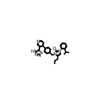 CCCc1cn(-c2ccccc2C(C)C)c(=O)n1Cc1ccc(-c2ccncc2-c2nnn[nH]2)cc1